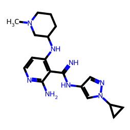 CN1CCCC(Nc2ccnc(N)c2C(=N)Nc2cnn(C3CC3)c2)C1